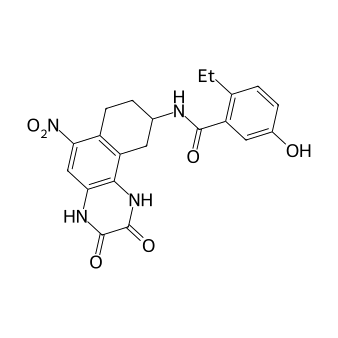 CCc1ccc(O)cc1C(=O)NC1CCc2c([N+](=O)[O-])cc3[nH]c(=O)c(=O)[nH]c3c2C1